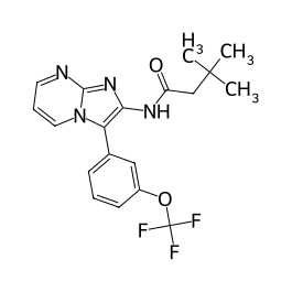 CC(C)(C)CC(=O)Nc1nc2ncccn2c1-c1cccc(OC(F)(F)F)c1